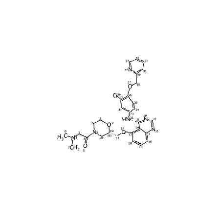 CN(C)CC(=O)N1CCO[C@H](COc2cccc3ncnc(Nc4ccc(OCc5ccccn5)c(Cl)c4)c23)C1